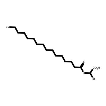 CCC(OC(=O)CCCCCCCCCCCCCCC(C)C)C(=O)O